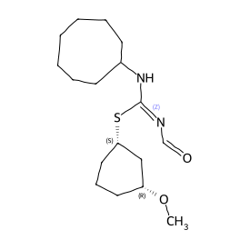 CO[C@@H]1CCC[C@H](S/C(=N\C=O)NC2CCCCCCC2)C1